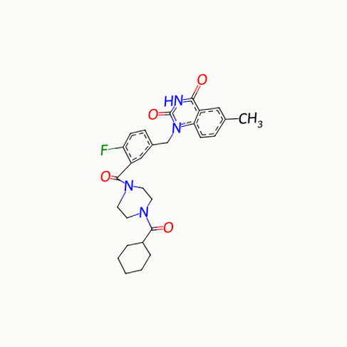 Cc1ccc2c(c1)c(=O)[nH]c(=O)n2Cc1ccc(F)c(C(=O)N2CCN(C(=O)C3CCCCC3)CC2)c1